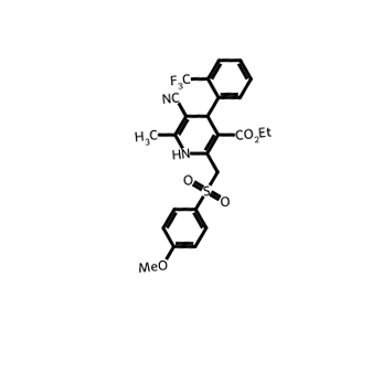 CCOC(=O)C1=C(CS(=O)(=O)c2ccc(OC)cc2)NC(C)=C(C#N)C1c1ccccc1C(F)(F)F